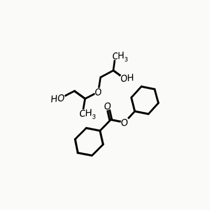 CC(O)COC(C)CO.O=C(OC1CCCCC1)C1CCCCC1